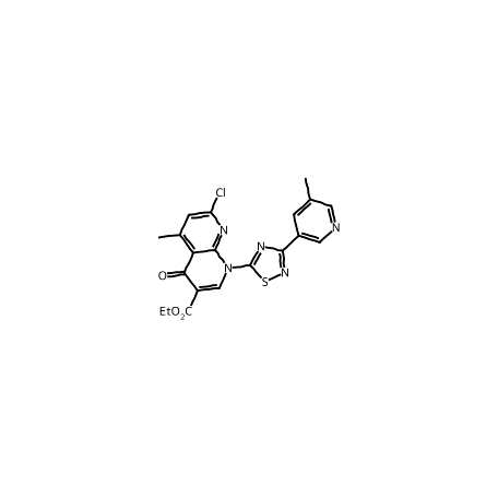 CCOC(=O)c1cn(-c2nc(-c3cncc(C)c3)ns2)c2nc(Cl)cc(C)c2c1=O